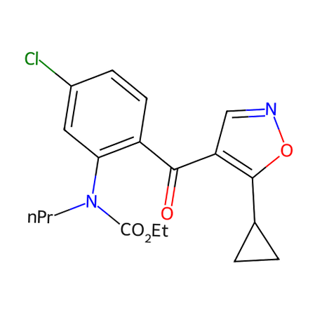 CCCN(C(=O)OCC)c1cc(Cl)ccc1C(=O)c1cnoc1C1CC1